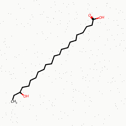 CCC(O)CCCCCCCCCCCCCCCCCCC(=O)O